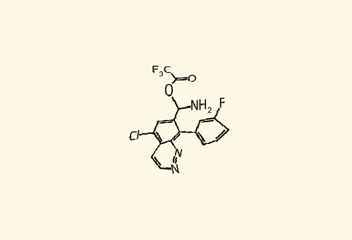 NC(OC(=O)C(F)(F)F)c1cc(Cl)c2ccnnc2c1-c1cccc(F)c1